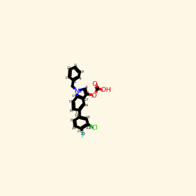 O=C(O)Oc1cn(Cc2ccccc2)c2ccc(-c3ccc(F)c(Cl)c3)cc12